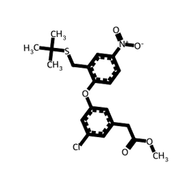 COC(=O)Cc1cc(Cl)cc(Oc2ccc([N+](=O)[O-])cc2CSC(C)(C)C)c1